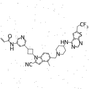 C=CC(=O)Nc1cncc(C2CC(n3c(C#N)cc4c(C)c(CN5CCC(Nc6ncnc7sc(CC(F)(F)F)cc67)CC5)ccc43)C2)c1